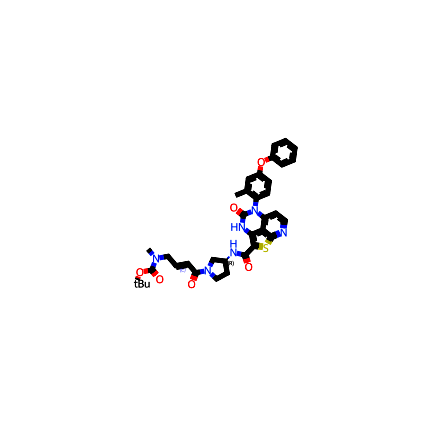 Cc1cc(Oc2ccccc2)ccc1N1C(=O)Nc2c(C(=O)N[C@@H]3CCN(C(=O)/C=C/CN(C)C(=O)OC(C)(C)C)C3)sc3nccc1c23